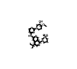 CO[C@@H]1CCN(c2nccc(Nc3cc4c(C(C)C)cnc(N5CCCS(=O)(=O)C5)c4cn3)n2)C[C@@H]1O